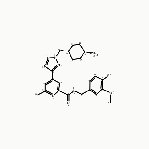 COc1cc(CNC(=O)c2cc(-c3nnn(C[C@H]4CC[C@H](N)CC4)n3)cc(C)n2)ccc1F